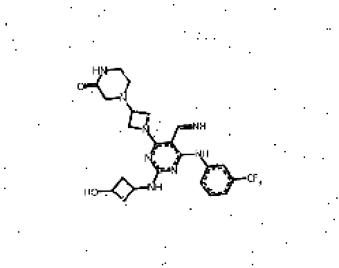 N=Cc1c(Nc2cccc(C(F)(F)F)c2)nc(NC2CC(O)C2)nc1N1CC(N2CCNC(=O)C2)C1